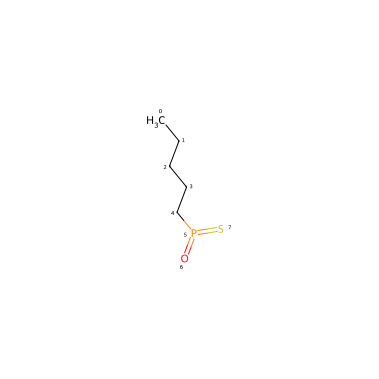 CCCCCP(=O)=S